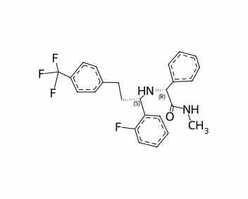 CNC(=O)[C@H](N[C@@H](CCc1ccc(C(F)(F)F)cc1)c1ccccc1F)c1ccccc1